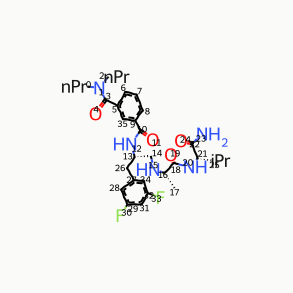 CCCN(CCC)C(=O)c1cccc(C(=O)N[C@H](CN[C@@H](C)C(=O)N[C@H](C(N)=O)C(C)C)Cc2cc(F)cc(F)c2)c1